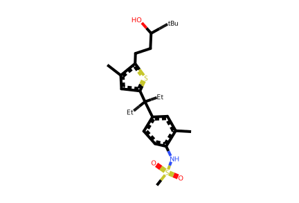 CCC(CC)(c1ccc(NS(C)(=O)=O)c(C)c1)c1cc(C)c(CCC(O)C(C)(C)C)s1